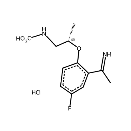 CC(=N)c1cc(F)ccc1O[C@@H](C)CNC(=O)O.Cl